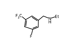 CCNCc1cc(F)cc(C(F)(F)F)c1